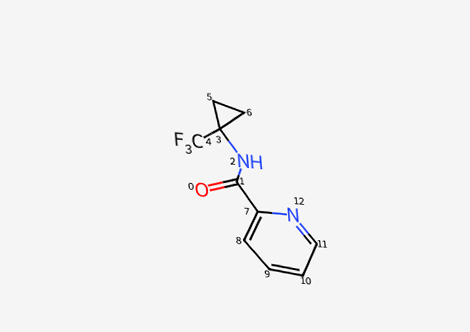 O=C(NC1(C(F)(F)F)CC1)c1ccccn1